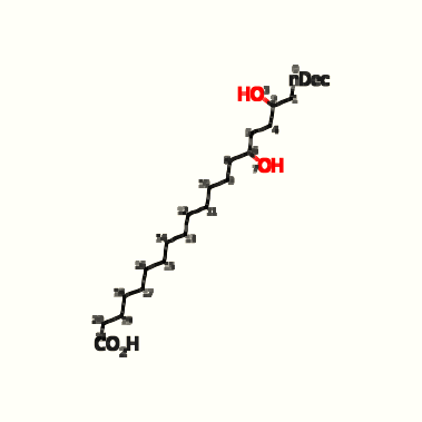 CCCCCCCCCCCC(O)CCC(O)CCCCCCCCCCCCCC(=O)O